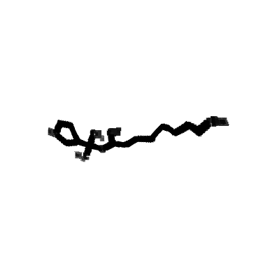 CCCCCCCCCCCCCCCCCC(O)OC(C)(C)C1CCNC1